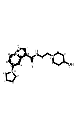 O=C(NCCN1CCC(O)CC1)c1cnn2ccc(N3CCCC3)cc12